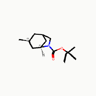 C[C@H]1CC2C[C@H](C1)N(C(=O)OC(C)(C)C)C2